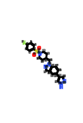 O=S(=O)(c1ccc(F)cc1)N1CCC(Cn2ncc3cc(-c4cn[nH]c4)ccc32)CC1